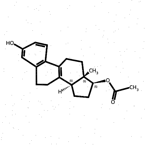 CC(=O)O[C@H]1CC[C@H]2C3=C(CC[C@]12C)c1ccc(O)cc1CC3